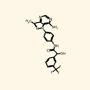 Cc1nn(-c2ccc(NC(=O)C(O)c3cccc(C(F)(F)F)c3)cc2)c2c(N)ncnc12